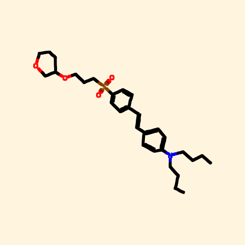 CCCCN(CCCC)c1ccc(C=Cc2ccc(S(=O)(=O)CCCOC3CCCOC3)cc2)cc1